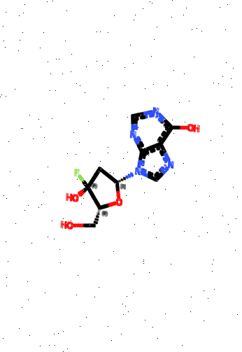 OC[C@H]1O[C@@H](n2cnc3c(O)ncnc32)C[C@@]1(O)F